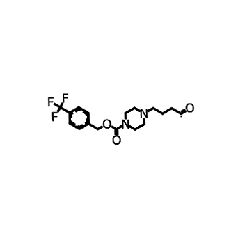 O=[C]CCCN1CCN(C(=O)OCc2ccc(C(F)(F)F)cc2)CC1